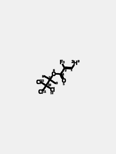 [2H]/C=C(\F)C(=O)OC(C)(C)C(Cl)(Cl)Cl